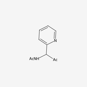 CC(=O)NC(C(C)=O)c1ccccn1